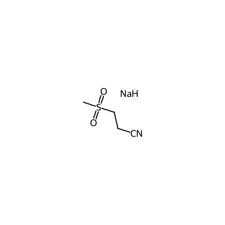 CS(=O)(=O)CCC#N.[NaH]